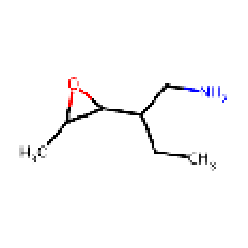 CCC(CN)C1OC1C